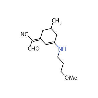 COCCCNC1=C/C(=C(/C#N)C=O)CC(C)C1